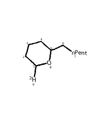 [2H]C1CCCC(CCCCCC)O1